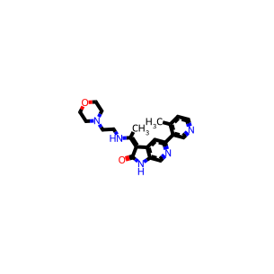 C/C(NCCN1CCOCC1)=C1/C(=O)Nc2cnc(-c3cnccc3C)cc21